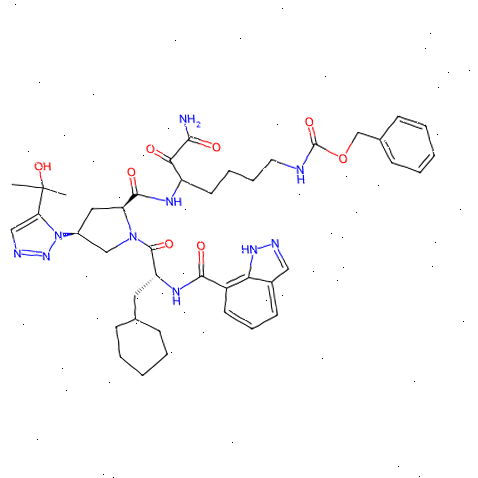 CC(C)(O)c1cnnn1[C@H]1C[C@@H](C(=O)NC(CCCCNC(=O)OCc2ccccc2)C(=O)C(N)=O)N(C(=O)[C@@H](CC2CCCCC2)NC(=O)c2cccc3cn[nH]c23)C1